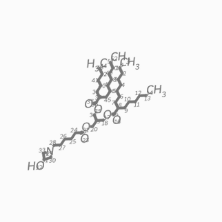 CCCCCCCCC(CCCCCC)C(=O)OCC(COC(=O)CCCCCN1CC(O)C1)COC(=O)C(CCCCCC)CCCCCCCC